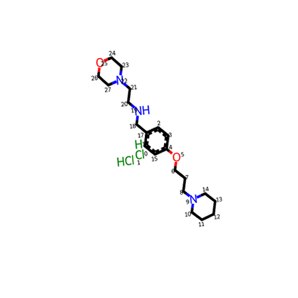 Cl.Cl.c1cc(OCCCN2CCCCC2)ccc1CNCCN1CCOCC1